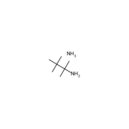 CC(C)(C)C(C)(C)N.N